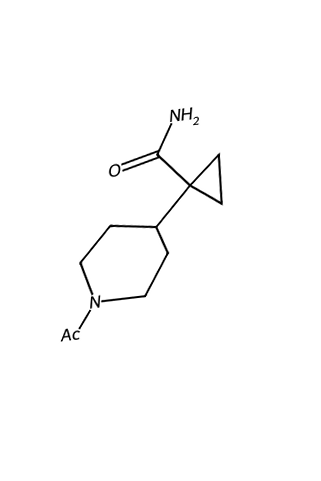 CC(=O)N1CCC(C2(C(N)=O)CC2)CC1